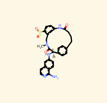 CN1Cc2cc(ccc2[SH](=O)=O)NC(=O)CCCc2ccc(cc2)[C@@H](Nc2ccc3c(N)nccc3c2)C1=O